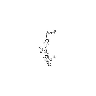 CCOC(=O)c1nc(N(C)c2cc(C)c(N=c3sc4ccccc4n3COCC[Si](C)(C)C)nn2)sc1CCCOc1ccc(C#CCN(C)CCO[Si](C)(C)C(C)(C)C)cc1F